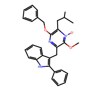 COc1c(Cc2c(-c3ccccc3)[nH]c3ccccc23)nc(OCc2ccccc2)c(CC(C)C)[n+]1[O-]